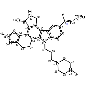 C/C(=N\OCC(C)C)c1ccc2c(c1)c1c3c(c4c(c1n2CCCN1CCN(C)CC1)CCc1nn(C)cc1-4)C(=O)NC3